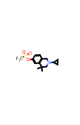 CC1(C)CN(C2CC2)Cc2ccc(OS(=O)(=O)C(F)(F)F)cc21